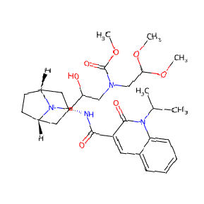 COC(=O)N(CC(O)CN1[C@@H]2CC[C@H]1C[C@@H](NC(=O)c1cc3ccccc3n(C(C)C)c1=O)C2)CC(OC)OC